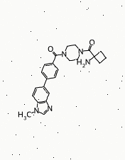 Cn1cnc2cc(-c3ccc(C(=O)N4CCN(C(=O)C5(N)CCC5)CC4)cc3)ccc21